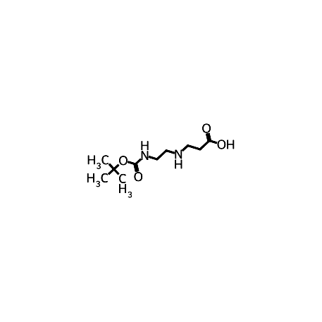 CC(C)(C)OC(=O)NCCNCCC(=O)O